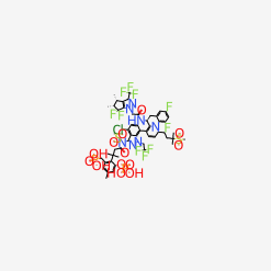 Cc1cc(CP(=O)(O)O)c(C(C)(C)CC(=O)N(c2nn(CC(F)(F)F)c3c(-c4ccc(CCC(C)(C)S(C)(=O)=O)nc4[C@H](Cc4cc(F)cc(F)c4)NC(=O)Cn4nc(C(F)(F)F)c5c4C(F)(F)[C@H](C)[C@@H]5C)ccc(Cl)c23)S(C)(=O)=O)c(OP(=O)(O)O)c1